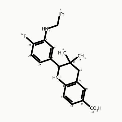 CC(C)CNc1cc(C2Nc3ccc(C(=O)O)cc3CC2(C)C)ccc1F